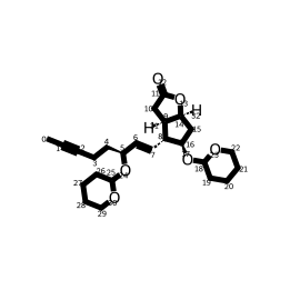 CC#CCC[C@@H](C=C[C@@H]1[C@H]2CC(=O)O[C@H]2C[C@H]1OC1CCCCO1)OC1CCCCO1